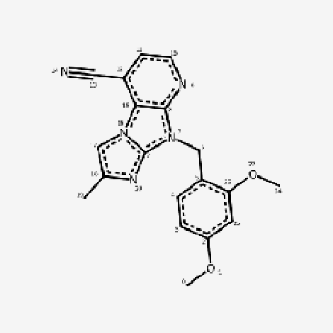 COc1ccc(Cn2c3nccc(C#N)c3n3cc(C)nc23)c(OC)c1